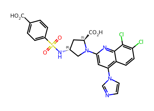 O=C(O)c1ccc(S(=O)(=O)N[C@@H]2C[C@@H](C(=O)O)N(c3cc(-n4ccnc4)c4ccc(Cl)c(Cl)c4n3)C2)cc1